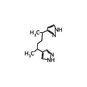 CC(CCC(C)c1cc[nH]n1)c1cn[nH]c1